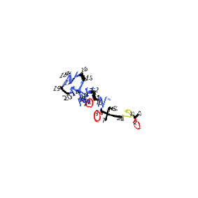 CC(=O)SCC(C)(C)C(=O)[N-]c1c[n+](N2CCN(C)CC2)no1